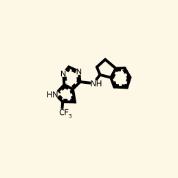 FC(F)(F)c1cc2c(NC3CCc4ccccc43)ncnc2[nH]1